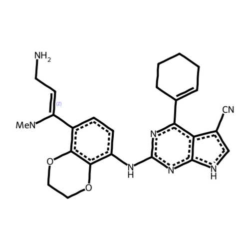 CN/C(=C\CN)c1ccc(Nc2nc(C3=CCCCC3)c3c(C#N)c[nH]c3n2)c2c1OCCO2